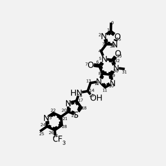 Cc1nc(Cn2c(=O)c3c(ncn3CC(O)Nc3csc(-c4cnc(C)c(C(F)(F)F)c4)n3)n(C)c2=O)no1